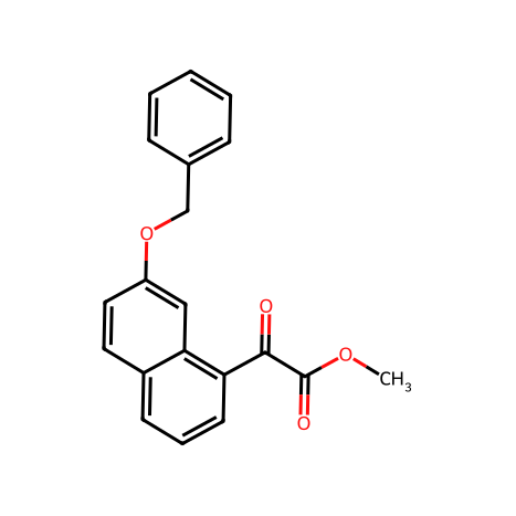 COC(=O)C(=O)c1cccc2ccc(OCc3ccccc3)cc12